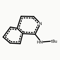 CC(C)(C)Nc1nccc2ccccc12